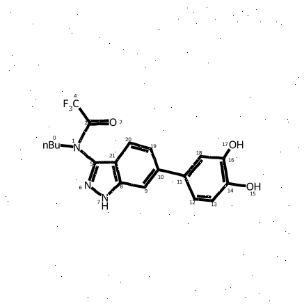 CCCCN(C(=O)C(F)(F)F)c1n[nH]c2cc(-c3ccc(O)c(O)c3)ccc12